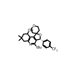 CC1(C)Cc2nc(C(C)(C)C)c3c(c2C(O)C1)C1(CCOCC1)O[C@@H]3c1ccc(C(F)(F)F)cc1